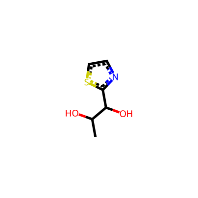 CC(O)C(O)c1nccs1